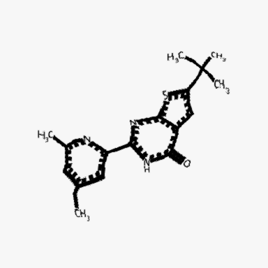 Cc1cc(C)nc(-c2nc3sc(C(C)(C)C)cc3c(=O)[nH]2)c1